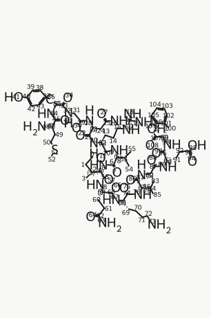 CC[C@H](C)[C@H](NC(=O)[C@@H](NC(=O)[C@H](CCCNC(=N)N)NC(=O)[C@H](CC(N)=O)NC(=O)CNC(=O)[C@H](Cc1ccc(O)cc1)NC(=O)[C@@H](N)CCSC)C(C)C)C(=O)N[C@@H](CCC(N)=O)C(=O)N[C@@H](CCCCN)C(=O)N[C@@H](C)C(=O)N[C@@H](CC(C)C)C(=O)N[C@@H](CCC(=O)O)C(=O)N[C@@H](Cc1ccccc1)C(=O)O